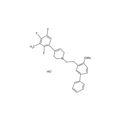 COc1ccc(-c2ccccc2)cc1CCN1CC=C(c2cc(F)c(F)c(C)c2F)CC1.Cl